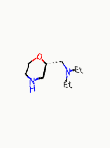 CCN(CC)C[C@@H]1CNCCO1